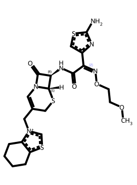 COCCO/N=C(\C(=O)N[C@@H]1C(=O)N2C=C(C[n+]3csc4c3CCCC4)CS[C@@H]12)c1csc(N)n1